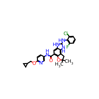 CC1(C)Cc2c3c(cc(C(=O)Nc4ccc(OCC5CC5)nc4)c2O1)NC(Nc1c(F)cccc1Cl)N3